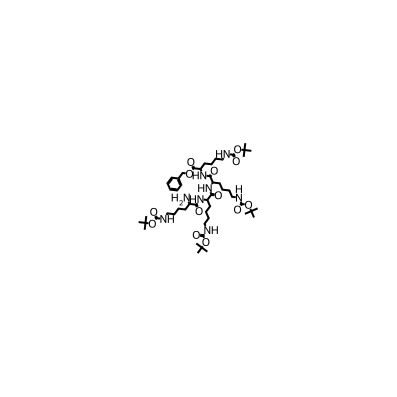 CC(C)(C)OC(=O)NCCCCC(N)C(=O)NC(CCCCNC(=O)OC(C)(C)C)C(=O)NC(CCCCNC(=O)OC(C)(C)C)C(=O)NC(CCCCNC(=O)OC(C)(C)C)C(=O)OCc1ccccc1